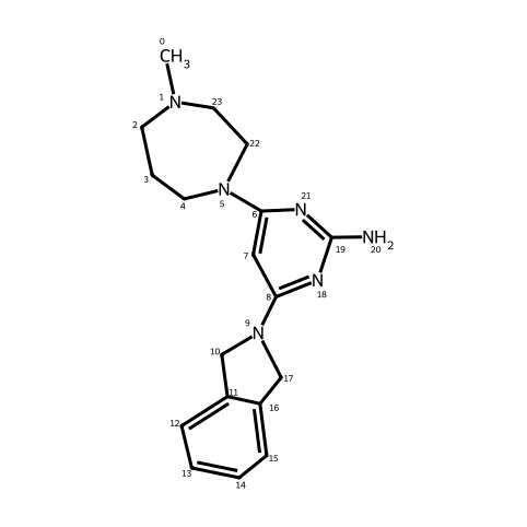 CN1CCCN(c2cc(N3Cc4ccccc4C3)nc(N)n2)CC1